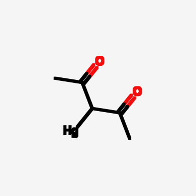 CC(=O)[CH]([Hg])C(C)=O